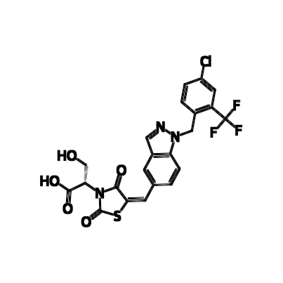 O=C(O)[C@H](CO)N1C(=O)SC(=Cc2ccc3c(cnn3Cc3ccc(Cl)cc3C(F)(F)F)c2)C1=O